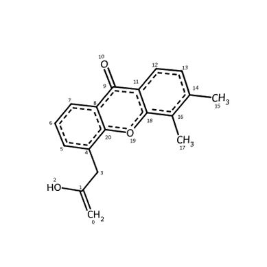 C=C(O)Cc1cccc2c(=O)c3ccc(C)c(C)c3oc12